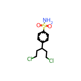 NS(=O)(=O)c1ccc(C(CCCl)CCCl)cc1